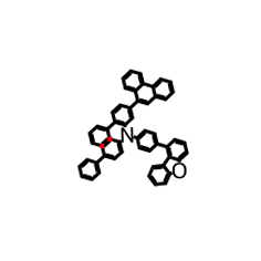 c1ccc(-c2ccc(N(c3ccc(-c4cccc5oc6ccccc6c45)cc3)c3cc(-c4cc5ccccc5c5ccccc45)ccc3-c3ccccc3)cc2)cc1